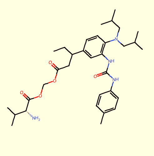 CCC(CC(=O)OCOC(=O)[C@H](N)C(C)C)c1ccc(N(CC(C)C)CC(C)C)c(NC(=O)Nc2ccc(C)cc2)c1